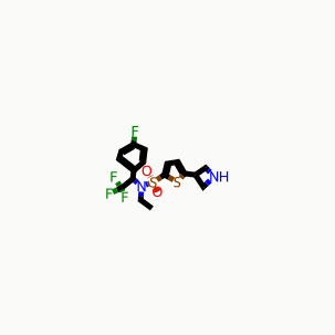 CCN(C(c1ccc(F)cc1)C(F)(F)F)S(=O)(=O)c1ccc(C2CNC2)s1